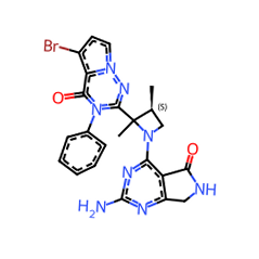 C[C@H]1CN(c2nc(N)nc3c2C(=O)NC3)C1(C)c1nn2ccc(Br)c2c(=O)n1-c1ccccc1